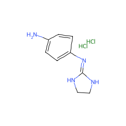 Cl.Cl.Nc1ccc(N=C2NCCN2)cc1